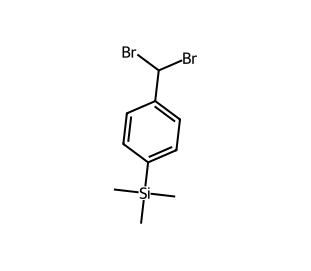 C[Si](C)(C)c1ccc(C(Br)Br)cc1